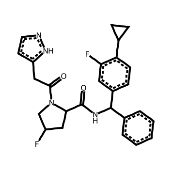 O=C(NC(c1ccccc1)c1ccc(C2CC2)c(F)c1)C1CC(F)CN1C(=O)Cc1ccn[nH]1